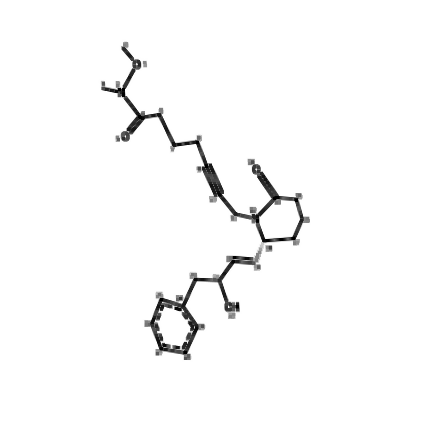 CON(C)C(=O)CCCC#CCN1C(=O)CCC[C@@H]1/C=C/C(O)Cc1ccccc1